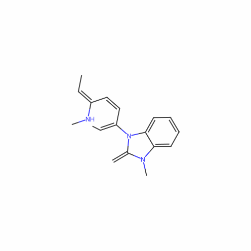 C=C1N(C)c2ccccc2N1C(/C=C\C(=C/C)NC)=C/C